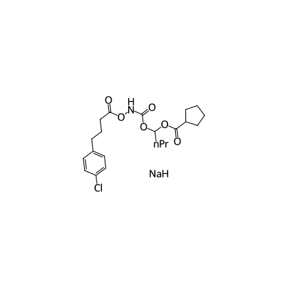 CCCC(OC(=O)NOC(=O)CCCc1ccc(Cl)cc1)OC(=O)C1CCCC1.[NaH]